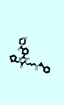 O=C(N[C@@H](CCCCN[C@@H]1CC1c1ccccc1)C(=O)NCc1ccccc1)c1cccc(C(=O)N2CCNCC2)c1